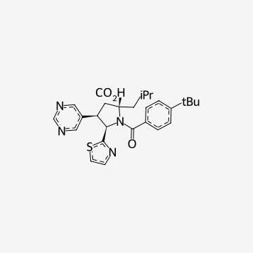 CC(C)C[C@@]1(C(=O)O)C[C@H](c2cncnc2)[C@H](c2nccs2)N1C(=O)c1ccc(C(C)(C)C)cc1